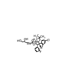 CC(C)(C)C[C@@H]1N[C@H](OC(=O)NCC[C@H](O)CO)[C@H](c2cccc(F)c2)[C@@]1(C#N)c1ccc(Cl)cc1F